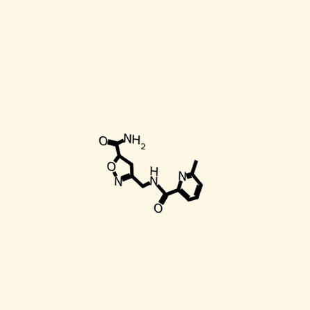 Cc1cccc(C(=O)NCC2=NOC(C(N)=O)C2)n1